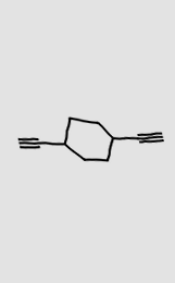 C#CC1CCC(C#C)CC1